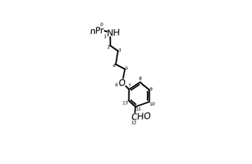 CCCNCCCCOc1cccc(C=O)c1